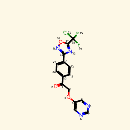 O=C(COc1cncnc1)c1ccc(-c2noc(C(F)(F)Cl)n2)cc1